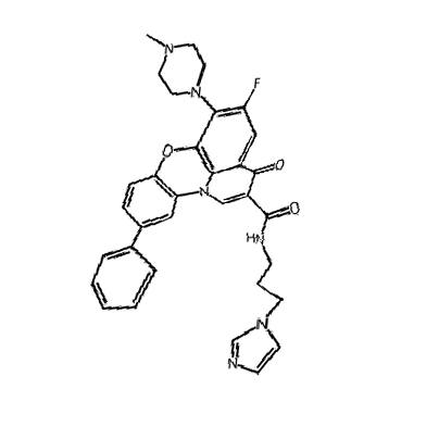 CN1CCN(c2c(F)cc3c(=O)c(C(=O)NCCCn4ccnc4)cn4c3c2Oc2ccc(-c3ccccc3)cc2-4)CC1